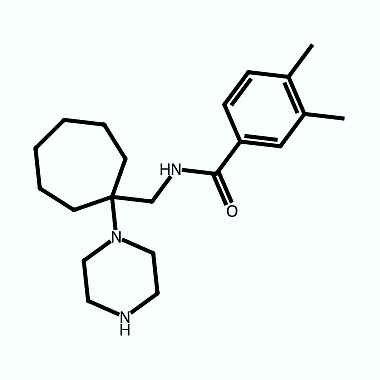 Cc1ccc(C(=O)NCC2(N3CCNCC3)CCCCCC2)cc1C